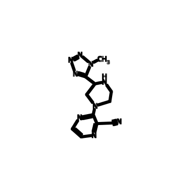 Cn1nnnc1C1CN(c2nccnc2C#N)CCN1